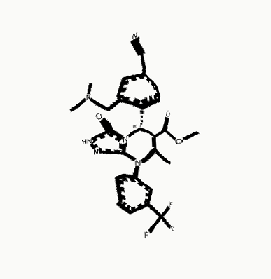 COC(=O)C1=C(C)N(c2cccc(C(F)(F)F)c2)c2n[nH]c(=O)n2[C@@H]1c1ccc(C#N)cc1CN(C)C